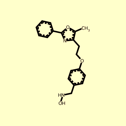 Cc1oc(-c2ccccc2)nc1CCOc1ccc(CNO)cc1